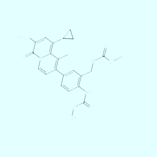 Cc1c(-c2ccc(NC(=O)OC(C)(C)C)c(CNC(=O)OC(C)(C)C)c2)ccn2c(=O)c(C(=O)O)cc(C3CC3)c12